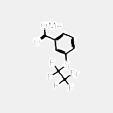 COC(=O)c1cccc(SC(F)(F)C(F)(F)Br)c1